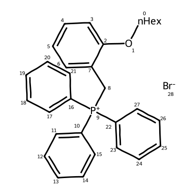 CCCCCCOc1ccccc1C[P+](c1ccccc1)(c1ccccc1)c1ccccc1.[Br-]